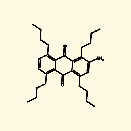 CCCCc1ccc(CCCC)c2c1C(=O)c1c(CCCC)cc(N)c(CCCC)c1C2=O